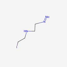 N=NCCNCCI